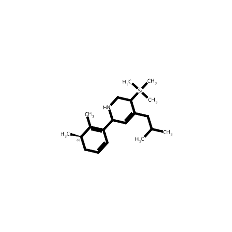 CC1=C(C2C=C(CC(C)C)C([Si](C)(C)C)CN2)C=CC[C@H]1C